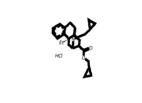 CC[C@@]12CC3C(C(=O)OCC4CC4)CC1C(Cc1ccccc12)N3CC1CC1.Cl